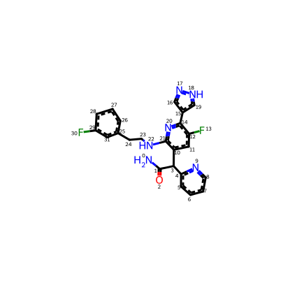 NC(=O)C(c1ccccn1)c1cc(F)c(-c2cn[nH]c2)nc1NCCc1cccc(F)c1